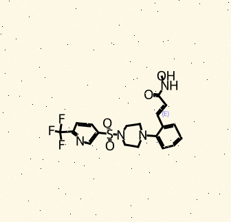 O=C(/C=C/c1ccccc1N1CCN(S(=O)(=O)c2ccc(C(F)(F)F)nc2)CC1)NO